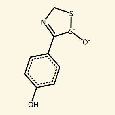 [O-][S+]1SCN=C1c1ccc(O)cc1